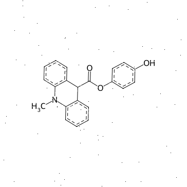 CN1c2ccccc2C(C(=O)Oc2ccc(O)cc2)c2ccccc21